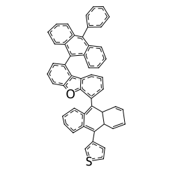 C1=CC2C(c3ccsc3)=c3ccccc3=C(c3cccc4c3oc3cccc(-c5c6ccccc6c(-c6ccccc6)c6ccccc56)c34)C2C=C1